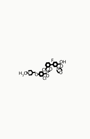 CN1CCC(COc2cc(Cl)c(C(=O)N3COc4c(cccc4-c4cc(N5CCOCC5)c(C(=O)O)cc4F)C3)c(Cl)c2)CC1